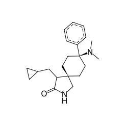 CN(C)[C@]1(c2ccccc2)CC[C@@]2(CC1)CNC(=O)C2CC1CC1